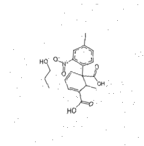 CC1C(C(=O)O)=CC=CC1(C(=O)O)c1ccc(I)cc1[N+](=O)[O-].CCCO